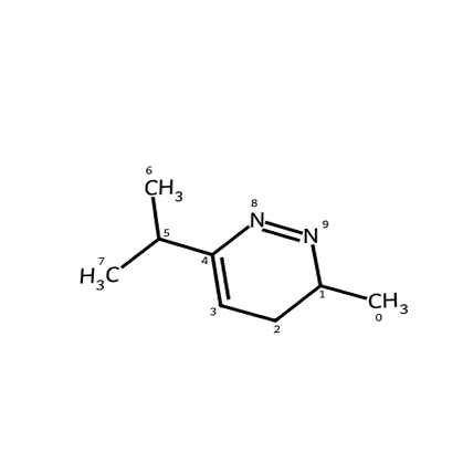 CC1CC=C(C(C)C)N=N1